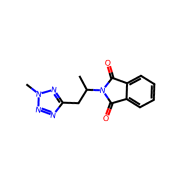 CC(Cc1nnn(C)n1)N1C(=O)c2ccccc2C1=O